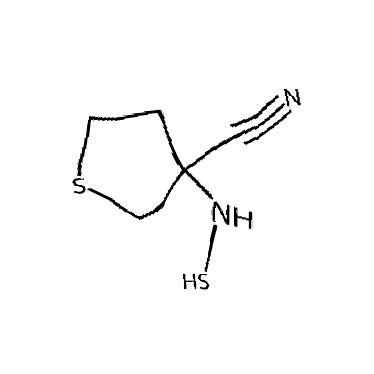 N#CC1(NS)CCSC1